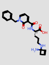 NC1(NCCC[C@H](NC(=O)c2cccn(Cc3ccccc3)c2=O)C(=O)O)C=CC1